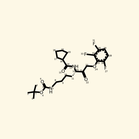 CC(C)(C)OC(=O)NCCCC[C@H](NC(=O)C1CCCC1)C(=O)COc1c(F)ccc(F)c1F